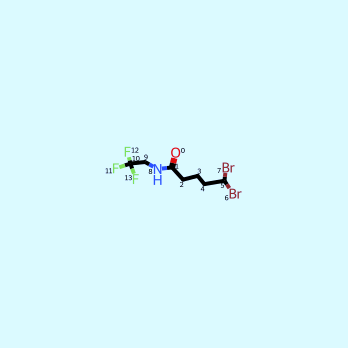 O=C(CCCC(Br)Br)NCC(F)(F)F